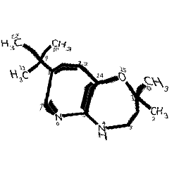 CC1(C)CNc2ncc(C(C)(C)C)cc2O1